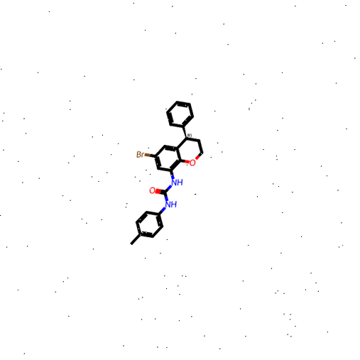 Cc1ccc(NC(=O)Nc2cc(Br)cc3c2OCC[C@@H]3c2ccccc2)cc1